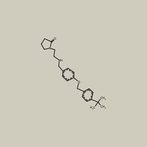 CC(C)(C)c1ccc(COc2ccc(CNCCN3CCCC3=O)cc2)cc1